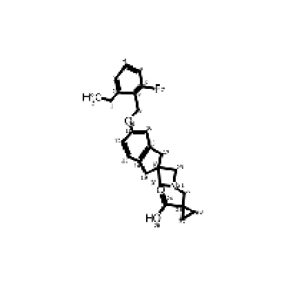 CCc1cccc(F)c1COc1ccc2c(c1)CC1(C2)CN(CC2(C(=O)O)CC2)C1